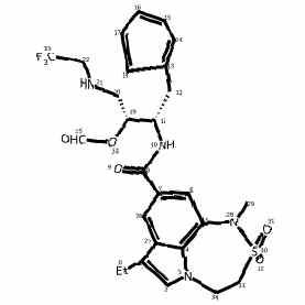 CCc1cn2c3c(cc(C(=O)N[C@@H](Cc4ccccc4)[C@@H](CNCC(F)(F)F)OC=O)cc13)N(C)S(=O)(=O)CC2